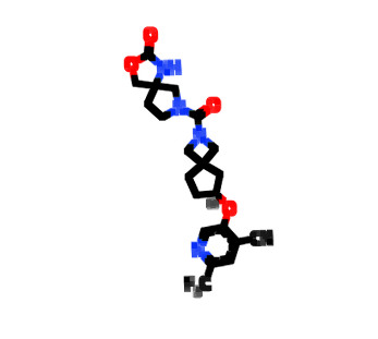 N#Cc1cc(C(F)(F)F)ncc1O[C@H]1CCC2(C1)CN(C(=O)N1CCC3(COC(=O)N3)C1)C2